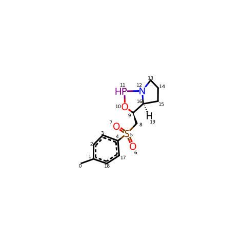 Cc1ccc(S(=O)(=O)C[C@H]2OPN3CCC[C@@H]23)cc1